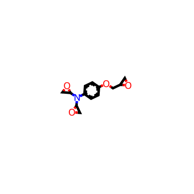 c1cc(N(C2CO2)C2CO2)ccc1OCC1CO1